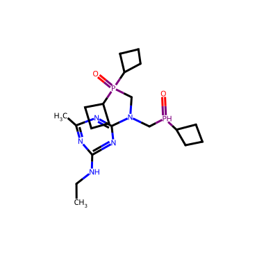 CCNc1nc(C)nc(N(C[PH](=O)C2CCC2)CP(=O)(C2CCC2)C2CCC2)n1